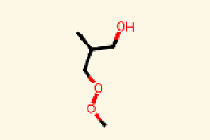 COOCC(C)CO